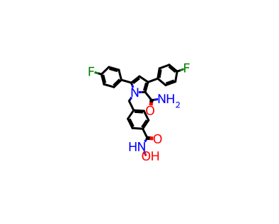 NC(=O)c1c(-c2ccc(F)cc2)cc(-c2ccc(F)cc2)n1Cc1ccc(C(=O)NO)cc1